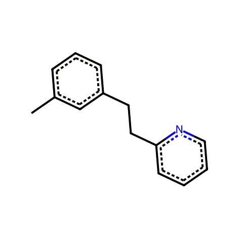 Cc1cccc(CCc2ccccn2)c1